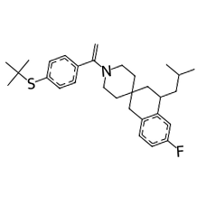 C=C(c1ccc(SC(C)(C)C)cc1)N1CCC2(CC1)Cc1ccc(F)cc1C(CC(C)C)C2